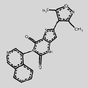 Cc1noc(C)c1-c1cc2[nH]c(=O)n(-c3cncc4ccccc34)c(=O)c2s1